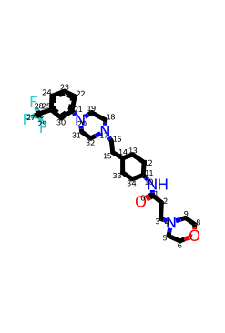 O=C(CCN1CCOCC1)NC1CCC(CCN2CCN(c3cccc(C(F)(F)F)c3)CC2)CC1